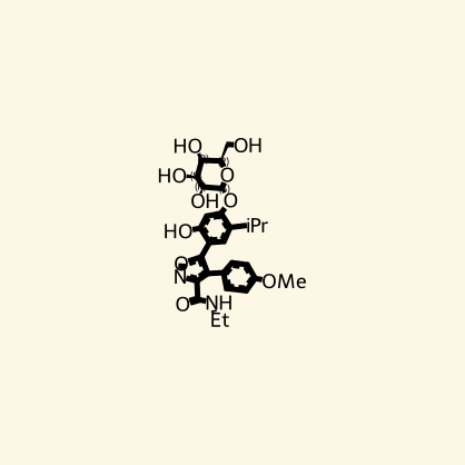 CCNC(=O)c1noc(-c2cc(C(C)C)c(O[C@@H]3O[C@H](CO)[C@H](O)[C@H](O)[C@H]3O)cc2O)c1-c1ccc(OC)cc1